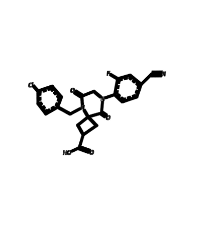 N#Cc1ccc(N2CC(=O)N(Cc3ccc(Cl)cc3)C3(CC(C(=O)O)C3)C2=O)c(F)c1